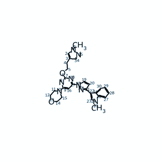 Cn1cc(CCOc2nc(N3CCOCC3)cc(-n3ccc(-c4cn(C)c5ccccc45)n3)n2)cn1